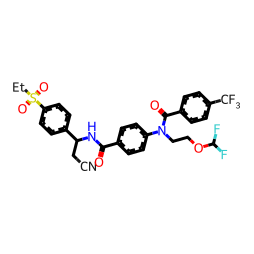 CCS(=O)(=O)c1ccc(C(CC#N)NC(=O)c2ccc(N(CCOC(F)F)C(=O)c3ccc(C(F)(F)F)cc3)cc2)cc1